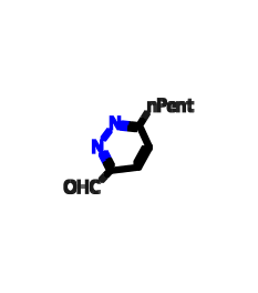 CCCCCc1ccc(C=O)nn1